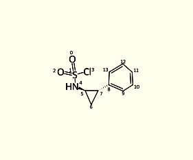 O=S(=O)(Cl)N[C@@H]1C[C@H]1c1ccccc1